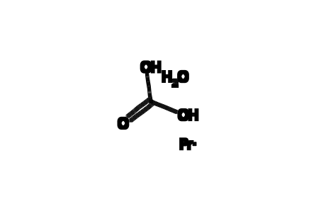 O.O=C(O)O.[Pr]